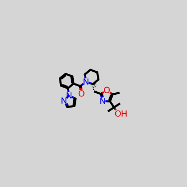 Cc1oc(C[C@H]2CCCCN2C(=O)c2ccccc2-n2cccn2)nc1C(C)(C)O